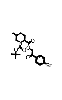 CC1CCC(C(=O)OCC(=O)c2ccc(Br)cc2)N(C(=O)OC(C)(C)C)C1